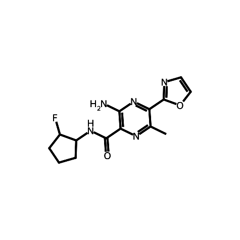 Cc1nc(C(=O)NC2CCCC2F)c(N)nc1-c1ncco1